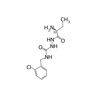 CC[C@H](N)C(=O)NNC(=O)NCc1ccccc1Cl